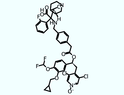 O=C(Cc1ccc(CNC(C(=O)O)(c2ccccc2F)[C@H]2CN3CCC2CC3)cc1)O[C@@H](Cc1c(Cl)c[n+]([O-])cc1Cl)c1ccc(OC(F)F)c(OCC2CC2)c1